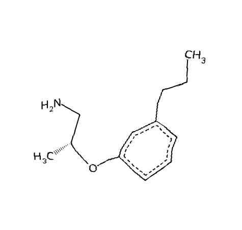 CCCc1cccc(O[C@H](C)CN)c1